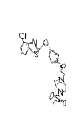 CS(=O)(=O)N1CC2CC1CN2CCOc1ccc(Oc2nc3c(Cl)cccc3s2)cc1